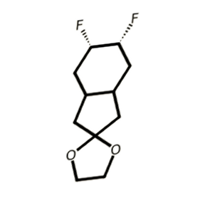 F[C@@H]1CC2CC3(CC2C[C@@H]1F)OCCO3